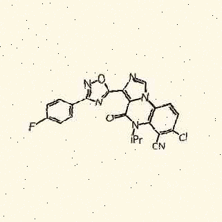 CC(C)n1c(=O)c2c(-c3nc(-c4ccc(F)cc4)no3)ncn2c2ccc(Cl)c(C#N)c21